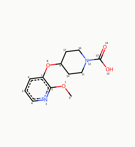 COc1ncccc1OC1CCN(C(=O)O)CC1